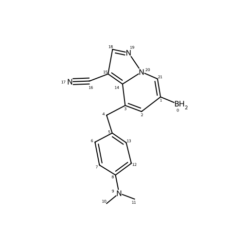 Bc1cc(Cc2ccc(N(C)C)cc2)c2c(C#N)cnn2c1